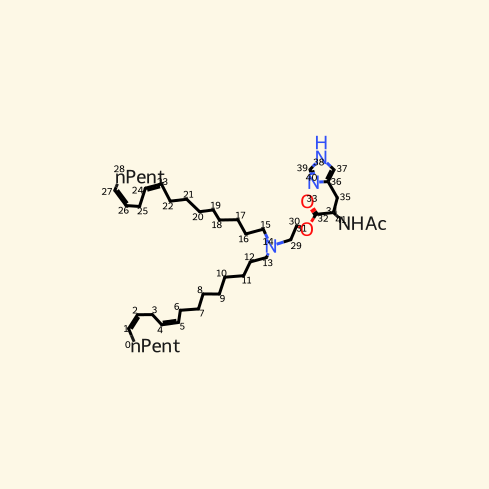 CCCCC/C=C\C/C=C\CCCCCCCCN(CCCCCCCC/C=C\C/C=C\CCCCC)CCOC(=O)C(Cc1c[nH]cn1)NC(C)=O